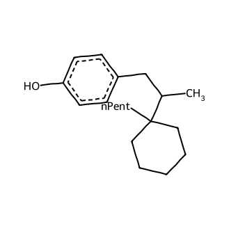 CCCCCC1(C(C)Cc2ccc(O)cc2)CCCCC1